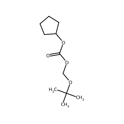 CC(C)(C)OCOC(=O)OC1CCCC1